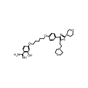 N=C(N)c1ccc(OCCCCCOc2ccc(-c3nc(N4CCOCC4)sc3CCN3CCSCC3)cc2)cc1O